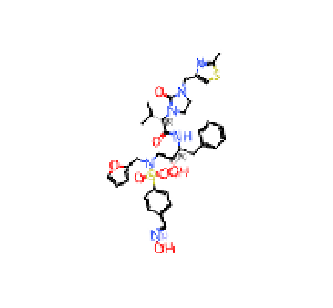 Cc1nc(CN2CCN([C@H](C(=O)N[C@@H](Cc3ccccc3)[C@H](O)CN(Cc3ccco3)S(=O)(=O)c3ccc(/C=N/O)cc3)C(C)C)C2=O)cs1